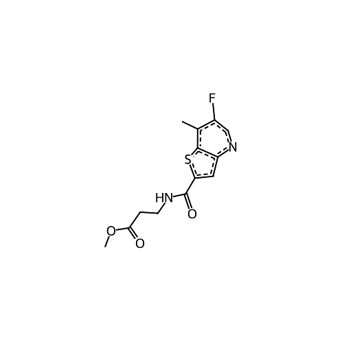 COC(=O)CCNC(=O)c1cc2ncc(F)c(C)c2s1